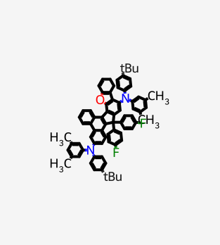 Cc1cc(C)cc(N(c2ccc(C(C)(C)C)cc2)c2ccc3c4c(c5ccccc5c3c2)-c2c(cc(N(c3ccc(C(C)(C)C)cc3)c3cc(C)cc(C)c3)c3c5c(oc23)C=CCC5)C4(c2ccc(F)cc2)c2ccc(F)cc2)c1